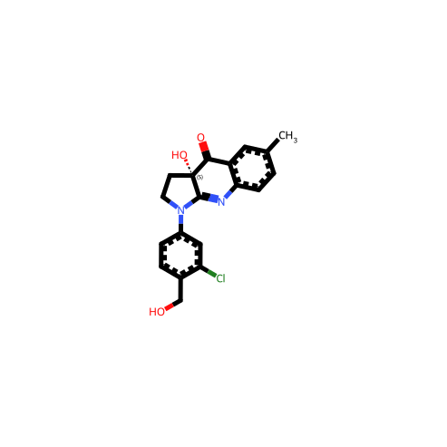 Cc1ccc2c(c1)C(=O)[C@]1(O)CCN(c3ccc(CO)c(Cl)c3)C1=N2